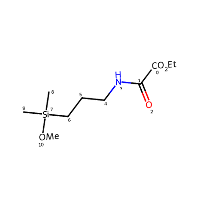 CCOC(=O)C(=O)NCCC[Si](C)(C)OC